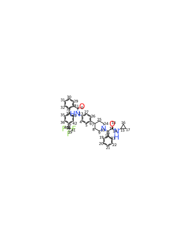 O=C(Nc1ccc(C2CCN(C(C(=O)NC3CC3)c3ccccc3)CC2)cc1)c1ccccc1-c1ccc(C(F)(F)F)cc1